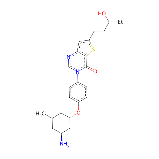 CCC(O)CCc1cc2ncn(-c3ccc(O[C@H]4CC(C)C[C@H](N)C4)cc3)c(=O)c2s1